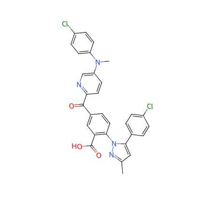 Cc1cc(-c2ccc(Cl)cc2)n(-c2ccc(C(=O)c3ccc(N(C)c4ccc(Cl)cc4)cn3)cc2C(=O)O)n1